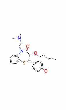 CCCCCO[C@H]1C(=O)N(CCN(C)C)c2ccccc2S[C@H]1c1ccc(OC)cc1